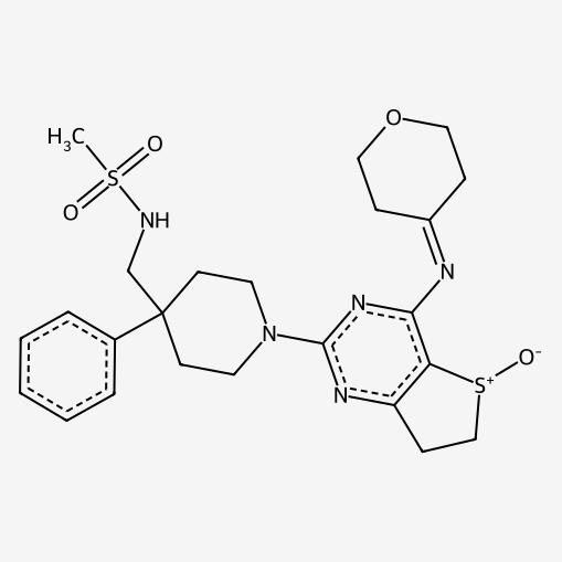 CS(=O)(=O)NCC1(c2ccccc2)CCN(c2nc3c(c(N=C4CCOCC4)n2)[S+]([O-])CC3)CC1